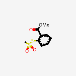 COC(=O)c1ccccc1SS(C)(=O)=O